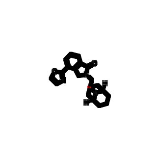 O=C1c2cccc(-c3ncco3)c2CN1CCB1[C@H]2CCC[C@H]1CCC2